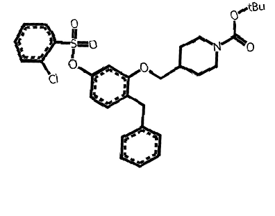 CC(C)(C)OC(=O)N1CCC(COc2cc(OS(=O)(=O)c3ccccc3Cl)ccc2Cc2ccccc2)CC1